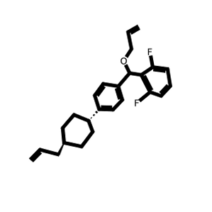 C=CCOC(c1ccc([C@H]2CC[C@H](CC=C)CC2)cc1)c1c(F)cccc1F